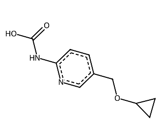 O=C(O)Nc1ccc(COC2CC2)cn1